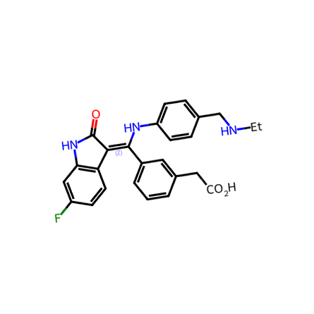 CCNCc1ccc(N/C(=C2\C(=O)Nc3cc(F)ccc32)c2cccc(CC(=O)O)c2)cc1